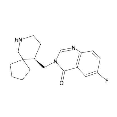 O=c1c2cc(F)ccc2ncn1C[C@@H]1CCNCC12CCCC2